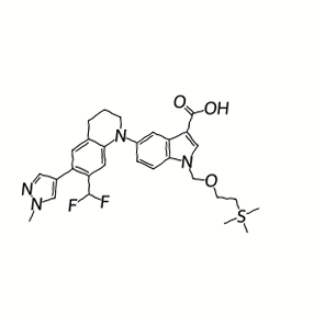 Cn1cc(-c2cc3c(cc2C(F)F)N(c2ccc4c(c2)c(C(=O)O)cn4COCCS(C)(C)C)CCC3)cn1